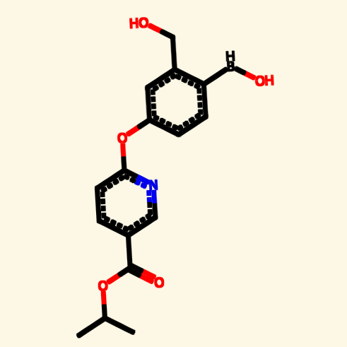 CC(C)OC(=O)c1ccc(Oc2ccc(BO)c(CO)c2)nc1